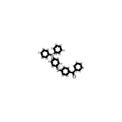 O=C(c1ccccc1)c1ccc(Sc2ccc([SH](c3ccccc3)c3ccccc3)cc2)cc1